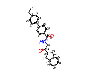 CCc1ccc(-c2ccc(C(=O)NCC(=O)C3Cc4ccccc4C3)cc2)cc1